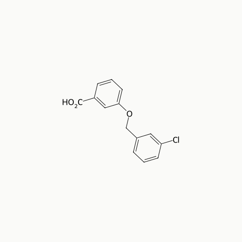 O=C(O)c1cccc(OCc2cccc(Cl)c2)c1